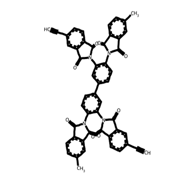 C#Cc1ccc2c(c1)C(=O)N(c1cc(-c3ccc(N4C(=O)c5ccc(C)cc5C4=O)c(N4C(=O)c5ccc(C#C)cc5C4=O)c3)ccc1N1C(=O)c3ccc(C)cc3C1=O)C2=O